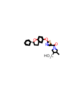 CC1CN(C(=O)c2cnc(Oc3ccc4c(c3)CC[C@@H](c3ccccc3)O4)s2)CC1C(=O)O